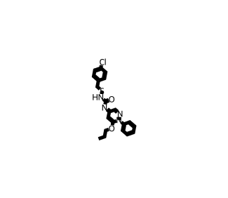 CCCOc1cc(=NC(=O)NSCc2ccc(Cl)cc2)cnn1-c1ccccc1